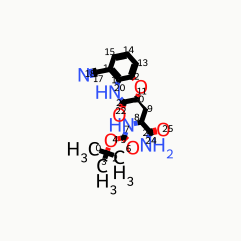 CC(C)(C)OC(=O)NC(C[C@@H]1Oc2cccc(C#N)c2NC1=O)C(N)=O